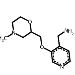 CN1CCOC(COc2cnccc2CN)C1